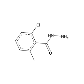 Cc1cccc(Cl)c1C(=O)NN